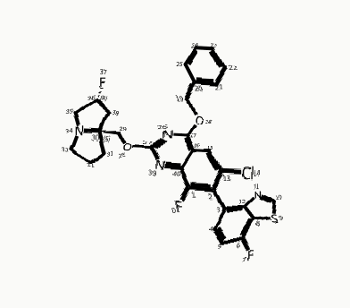 Fc1c(-c2ccc(F)c3scnc23)c(Cl)cc2c(OCc3ccccc3)nc(OC[C@@]34CCCN3C[C@H](F)C4)nc12